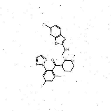 Cc1cc(F)cc(-n2nccn2)c1C(=O)N1CCC[C@@H](C)[C@H]1CNc1nc2ccc(Cl)cc2o1